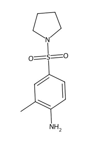 Cc1cc(S(=O)(=O)N2CCCC2)ccc1N